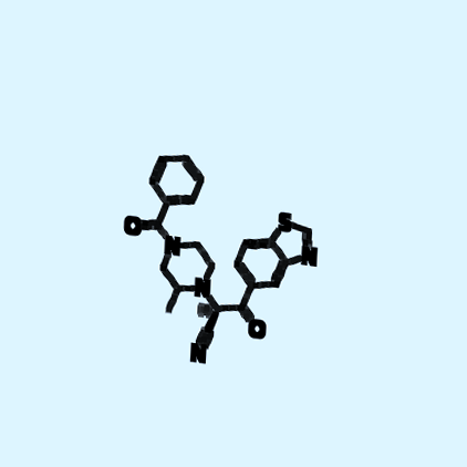 CC1CN(C(=O)c2ccccc2)CCN1[C@H](C#N)C(=O)c1ccc2scnc2c1